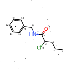 CCCC(Cl)C(=O)NCc1ccccc1